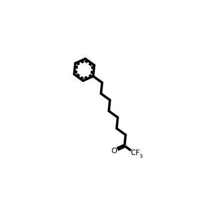 O=C(CCCCCCCc1ccccc1)C(F)(F)F